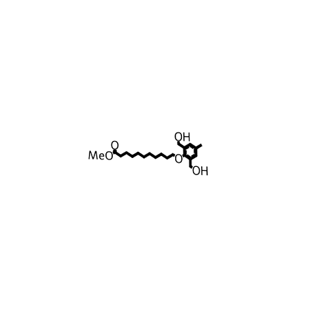 COC(=O)CCCCCCCCCCOc1c(CO)cc(C)cc1CO